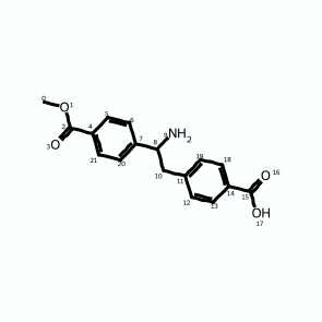 COC(=O)c1ccc(C(N)Cc2ccc(C(=O)O)cc2)cc1